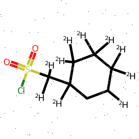 [2H]C1CC([2H])(C([2H])([2H])S(=O)(=O)Cl)C([2H])([2H])C([2H])([2H])C1([2H])[2H]